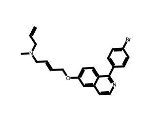 C=CCN(C)CC=CCOc1ccc2c(-c3ccc(Br)cc3)nccc2c1